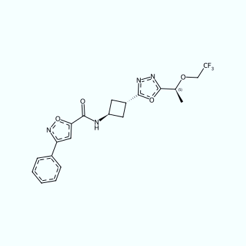 C[C@H](OCC(F)(F)F)c1nnc([C@H]2C[C@H](NC(=O)c3cc(-c4ccccc4)no3)C2)o1